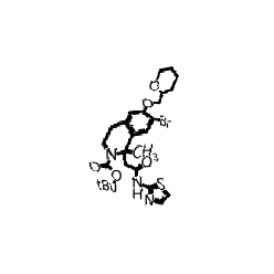 CC(C)(C)OC(=O)N1CCc2cc(OCC3CCCCO3)c(Br)cc2C1(C)CC(=O)Nc1nccs1